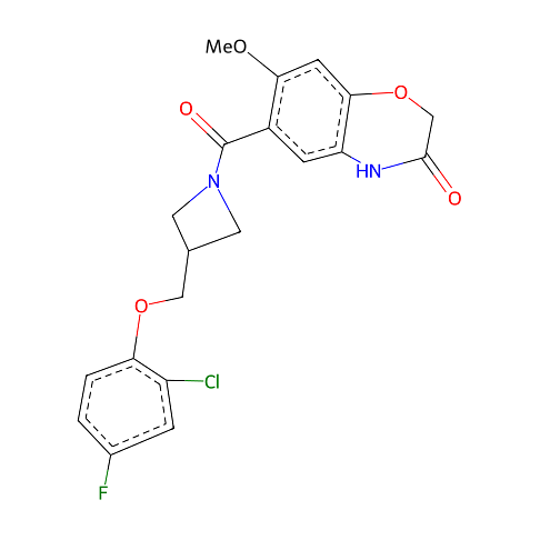 COc1cc2c(cc1C(=O)N1CC(COc3ccc(F)cc3Cl)C1)NC(=O)CO2